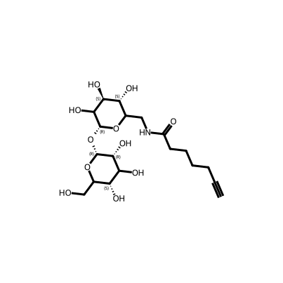 C#CCCCCC(=O)NCC1O[C@H](O[C@H]2OC(CO)[C@@H](O)C(O)[C@H]2O)C(O)[C@@H](O)[C@@H]1O